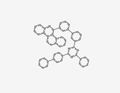 c1ccc(-c2ccc(-c3nc(-c4ccccc4)nc(-c4cccc(-c5cccc(-c6nc7ccccc7c7ccc8ccccc8c67)c5)c4)n3)cc2)cc1